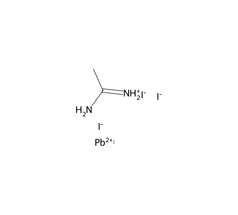 CC(N)=[NH2+].[I-].[I-].[I-].[Pb+2]